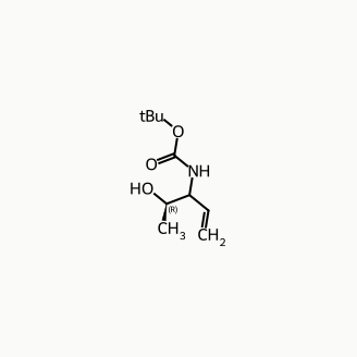 C=CC(NC(=O)OC(C)(C)C)[C@@H](C)O